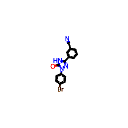 N#Cc1cccc(-c2nn(-c3ccc(Br)cc3)c(=O)[nH]2)c1